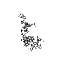 CCC(C)C(C(CC(=O)N1CCCC1C(OC)C(C)C(=O)NC(Cc1ccccc1)C(=O)NCc1ccc(NC(=O)C(CCCNC)NC(=O)CNC(=O)CCC(=O)N2CCCCC2)cc1)OC)N(C)C(=O)CNC